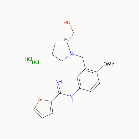 COc1ccc(NC(=N)c2cccs2)cc1CN1CCC[C@@H]1CO.Cl.Cl